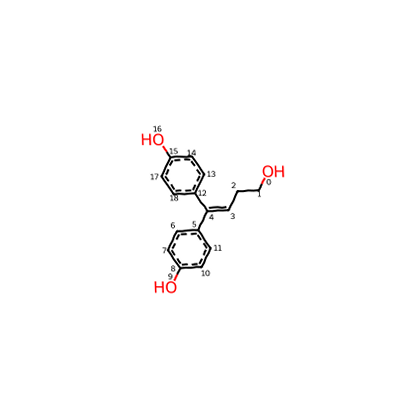 OCCC=C(c1ccc(O)cc1)c1ccc(O)cc1